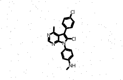 CNc1ccc(-n2c(Cl)c(-c3ccc(Cl)cc3)c3c(C)ncnc32)cc1